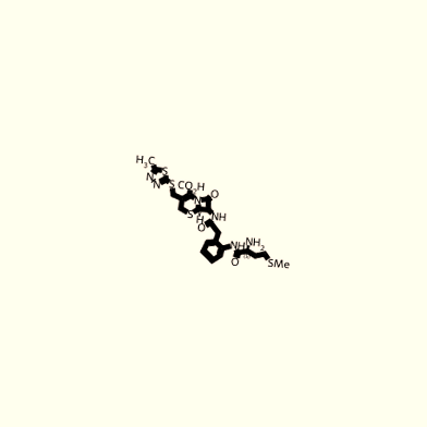 CSCC[C@H](N)C(=O)Nc1ccccc1CC(=O)NC1C(=O)N2C(C(=O)O)=C(CSc3nnc(C)s3)CS[C@H]12